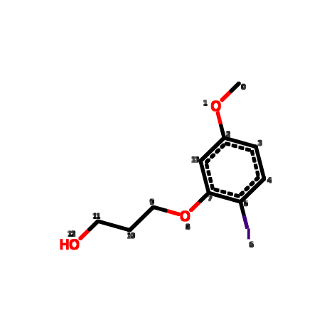 COc1ccc(I)c(OCCCO)c1